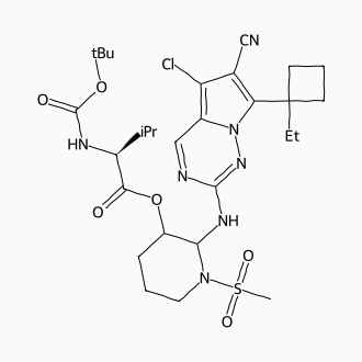 CCC1(c2c(C#N)c(Cl)c3cnc(NC4C(OC(=O)[C@@H](NC(=O)OC(C)(C)C)C(C)C)CCCN4S(C)(=O)=O)nn23)CCC1